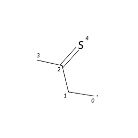 [CH2]CC(C)=S